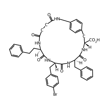 O=C1CCC(=O)N[C@H](CCc2ccccc2)C(=O)N[C@@H](Cc2ccc(Br)cc2)C(=O)N[C@H](Cc2ccccc2)C(=O)N[C@@H](C(=O)O)Cc2ccc(cc2)N1